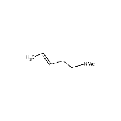 C/C=C/CCNC